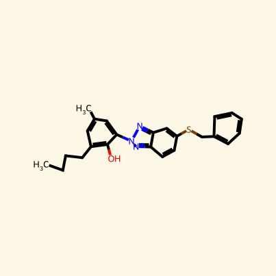 CCCCc1cc(C)cc(-n2nc3ccc(SCc4ccccc4)cc3n2)c1O